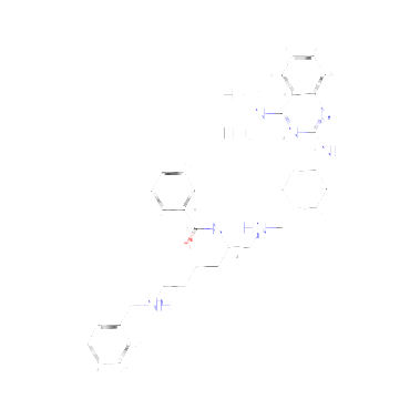 CN(C)c1nc(N[C@H]2CC[C@@H](CNCC(CCCCNCc3ccccc3)NC(=O)c3ccccc3)CC2)nc2ccccc12